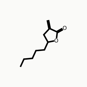 C=C1CC(CCCCC)OC1=O